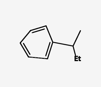 [CH2]CC(C)c1ccccc1